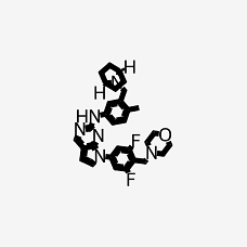 Cc1ccc(Nc2ncc3ccn(-c4cc(F)c(CN5CCOCC5)c(F)c4)c3n2)cc1CN1[C@H]2CC[C@@H]1CC2